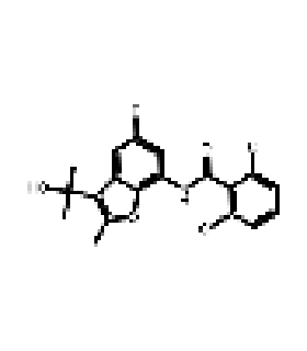 Cc1oc2c(NC(=O)c3c(Cl)cccc3Cl)cc(F)cc2c1C(C)(C)O